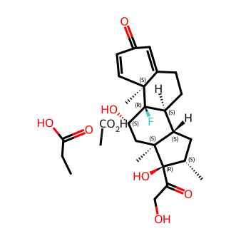 CC(=O)O.CCC(=O)O.C[C@H]1C[C@H]2[C@@H]3CCC4=CC(=O)C=C[C@]4(C)[C@@]3(F)[C@@H](O)C[C@]2(C)[C@@]1(O)C(=O)CO